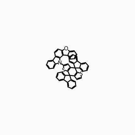 c1ccc2c(c1)-c1ccccc1C21c2cc(-n3c4ccccc4c4ccc5oc6ccccc6c5c43)sc2C2(c3ccccc3-c3ccccc32)c2ccsc21